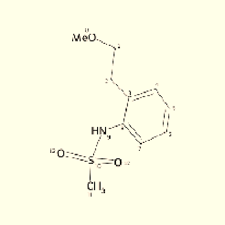 COCCc1ccccc1NS(C)(=O)=O